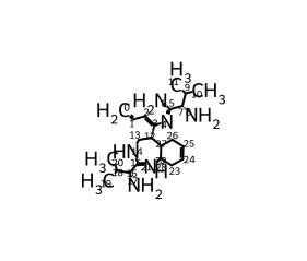 C=C/C=C(/N=C(\N)[C@@H](N)C(C)C)[C@@H]1CNC([C@@H](N)C(C)C)=N[C@@H]2CC=CCC21